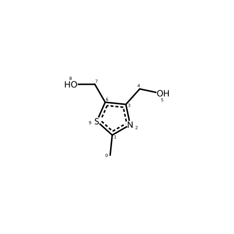 Cc1nc(CO)c(CO)s1